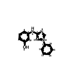 Oc1cccc(Nc2ncn(-c3ccccc3)n2)c1